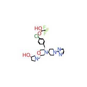 O=C(O)C(F)(F)F.O[C@@H]1CCN(C[C@H]2CN(C3CCN(c4ncccn4)CC3)[C@@H](Cc3ccc(Cl)cc3)CO2)C1